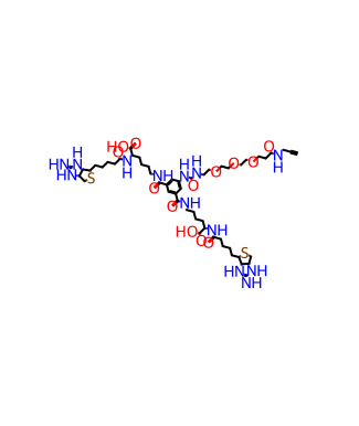 C#CCNC(=O)CCOCCOCCOCCNC(=O)Nc1cc(C(=O)NCCCCC(NC(=O)CCCCC2SCC3NC(=N)NC32)C(=O)O)cc(C(=O)NCCCCC(NC(=O)CCCCC2SCC3NC(=N)NC32)C(=O)O)c1